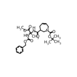 COC(=O)[C@@](C)(NC(=O)OCc1ccccc1)NC(=O)C1CC=CCN(C(=O)OC(C)(C)C)C1